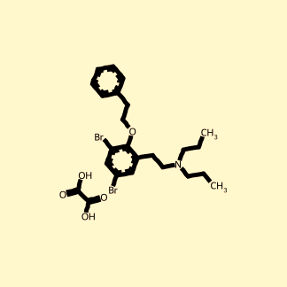 CCCN(CCC)CCc1cc(Br)cc(Br)c1OCCc1ccccc1.O=C(O)C(=O)O